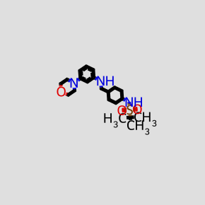 CC(C)(C)S(=O)(=O)NC1CCC(CNc2cccc(N3CCOCC3)c2)CC1